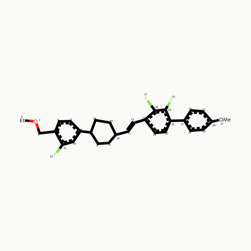 CCOCc1ccc(C2CCC(/C=C/c3ccc(-c4ccc(OC)cc4)c(F)c3F)CC2)cc1F